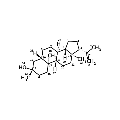 C=C(C)[C@H]1CC[C@H]2[C@@H]3CC[C@H]4C[C@@](C)(O)CC[C@]4(C)[C@H]3CC[C@]12C